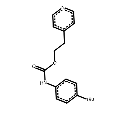 CC(C)(C)c1ccc(NC(=O)OCCc2ccncc2)cc1